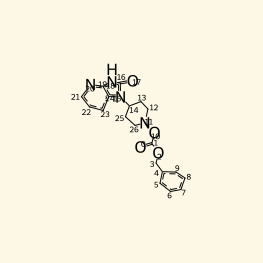 O=C(OCc1ccccc1)ON1CCC(n2c(=O)[nH]c3ncccc32)CC1